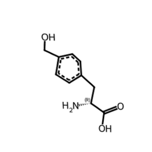 N[C@H](Cc1ccc(CO)cc1)C(=O)O